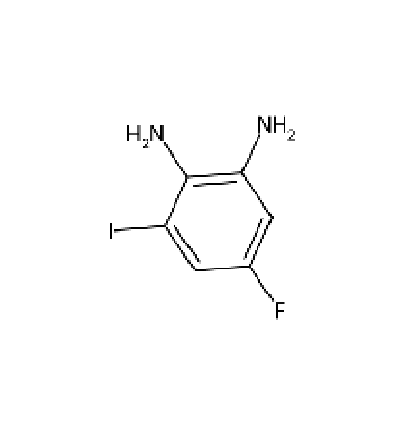 Nc1cc(F)cc(I)c1N